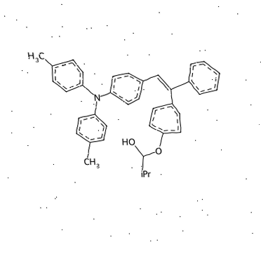 Cc1ccc(N(c2ccc(C)cc2)c2ccc(C=C(c3ccccc3)c3ccc(OC(O)C(C)C)cc3)cc2)cc1